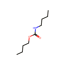 CCC[CH]NC(=O)OCCCC